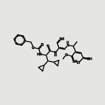 COC(=N)/C(=C\C(=N)Cl)C(C)N/C=C(\C=N)NC(=O)C(NC(=O)OCc1ccccc1)C(C1CC1)C1CC1